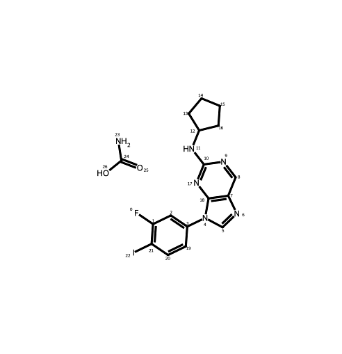 Fc1cc(-n2cnc3cnc(NC4CCCC4)nc32)ccc1I.NC(=O)O